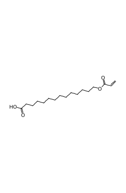 C=CC(=O)OCCCCCCCCCCCCCC(=O)O